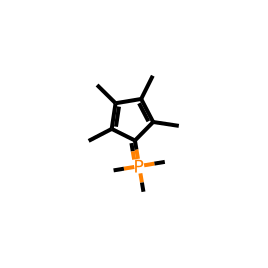 CC1=C(C)C(=P(C)(C)C)C(C)=C1C